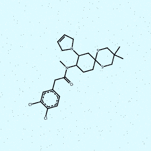 CN(C(=O)Cc1ccc(Cl)c(Cl)c1)C1CCC2(CC1N1CC=CC1)SCC(C)(C)CS2